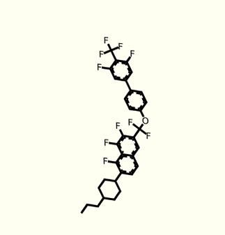 CCCC1CCC(c2ccc3cc(C(F)(F)Oc4ccc(-c5cc(F)c(C(F)(F)F)c(F)c5)cc4)c(F)c(F)c3c2F)CC1